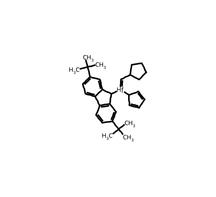 CC(C)(C)c1ccc2c(c1)[CH]([Hf](=[CH]C1CCCC1)[CH]1C=CC=C1)c1cc(C(C)(C)C)ccc1-2